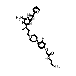 CN(CCN1CCN(c2ccc(OCC(=O)NCCN)cc2F)CC1)c1nc(N)n2nc(-c3ccco3)nc2n1